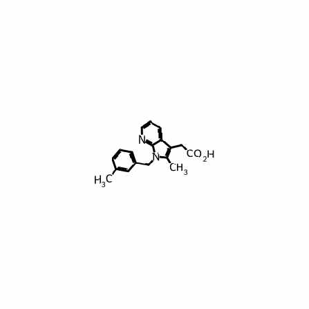 Cc1cccc(Cn2c(C)c(CC(=O)O)c3cccnc32)c1